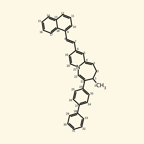 CC1CC=C2C=C(/C=C/c3cccc4ccccc34)C=CN2C=C1c1ccc(-c2ccccc2)cc1